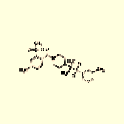 Cc1ccc(C(=O)N2CCC(C(C)(C)S(=O)(=O)c3cccc(C(F)(F)F)c3)CC2)c(S(C)(=O)=O)c1